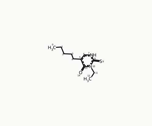 CCCCCc1c[nH]c(=S)n(CC)c1=O